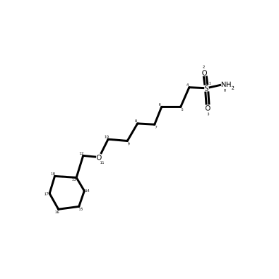 NS(=O)(=O)CCCCCCCOCC1CCCCC1